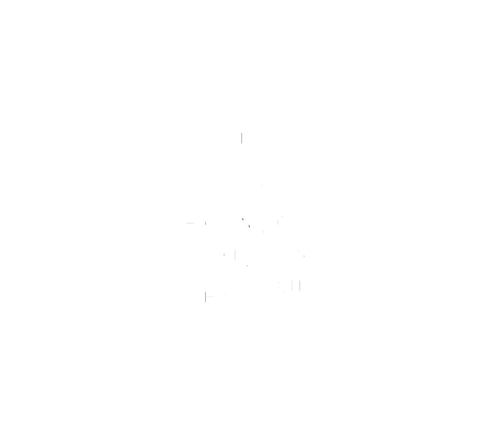 CCCC(C(=O)N(c1ccc(F)cc1)C(C)C)C(O)=S